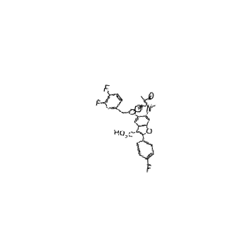 CN(c1cc2oc(-c3ccc(F)cc3)c(C(=O)O)c2cc1OCc1ccc(F)c(F)c1)S(C)(=O)=O